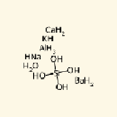 O.O[Si](O)(O)O.[AlH3].[BaH2].[CaH2].[KH].[NaH]